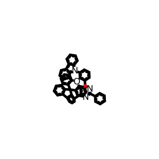 c1ccc(-c2nc(-c3cccc(-n4c5ccccc5c5ccccc54)c3)cc(-c3cccc4c3C3(c5ccccc5Oc5ccccc53)c3ccccc3-4)n2)cc1